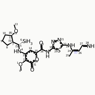 COc1c(N[C@@H]([SiH3])[C@H]2CCC[C@H]2OC)cc(C(=O)Nc2nnc(N/C(C)=C\C=N)s2)oc1=O